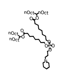 CCCCCCCCC(CCCCCCCC)OC(=O)CCCCCCCOP(=O)(OCCCCCCCC(=O)OC(CCCCCCCC)CCCCCCCC)OCCCN1CCCCC1